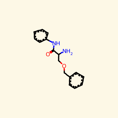 NC(COCc1ccccc1)C(=O)Nc1ccccc1